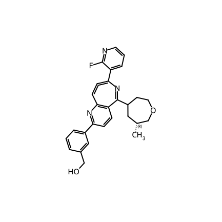 C[C@H]1COCCC(C2=NC(c3cccnc3F)=C=Cc3nc(-c4cccc(CO)c4)ccc32)C1